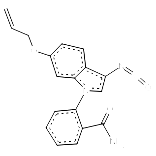 C=CCOc1ccc2c(N=C=O)cn(-c3ccccc3C(N)=O)c2c1